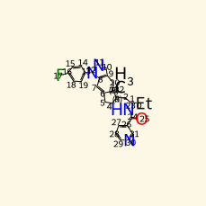 CCC(C[C@H]1CCC2=Cc3c(cnn3-c3ccc(F)cc3)C[C@@]21C)NC(=O)c1cccnc1